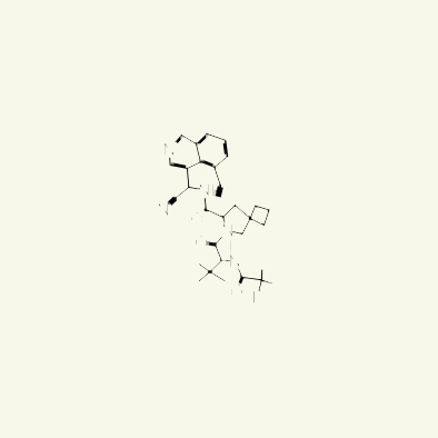 C#Cc1cccc2cncc(C(C#N)NC(=O)C3CC4(CCC4)CN3C(=O)[C@@H](NC(=O)C(F)(F)F)C(C)(C)C)c12